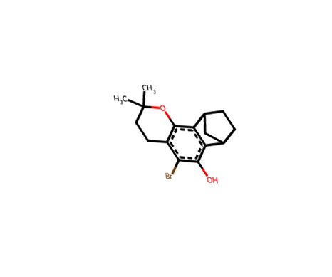 CC1(C)CCc2c(Br)c(O)c3c(c2O1)C1CCC3C1